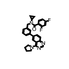 O=C(c1ccc(F)cc1F)N(Cc1cccc(-c2ccc3ncnc(N4CCCC4)c3c2)c1)C1CC1